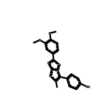 COc1ccc(-c2nn3c(-c4ccc(O)cc4)c(C)nc3s2)cc1OC